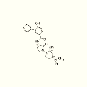 CCC[C@H]1C[C@H](N(C)C(C)C)CC[C@@H]1N1CC[C@H](NC(=O)c2ccc(O)c(-c3ccccc3)c2)C1=O